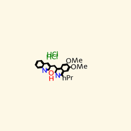 CCCc1ncc(Cc2cc3ccccc3nc2O)c2cc(OC)c(OC)cc12.Cl.Cl